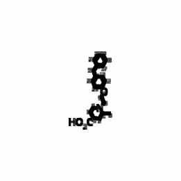 CC1CC(C(=O)O)CCN1CCOc1ccc(Cc2ccccc2)cc1